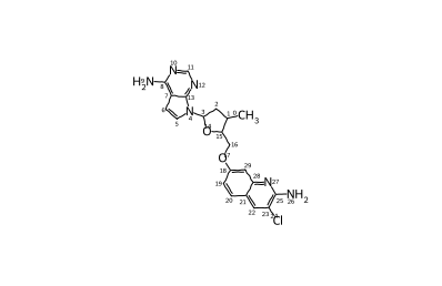 CC1CC(n2ccc3c(N)ncnc32)OC1COc1ccc2cc(Cl)c(N)nc2c1